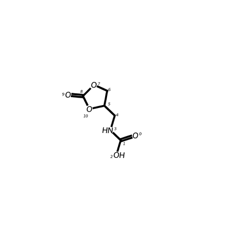 O=C(O)NCC1COC(=O)O1